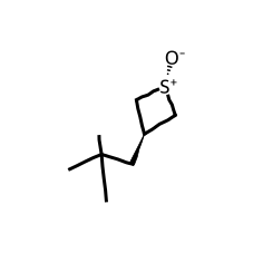 CC(C)(C)C[C@H]1C[S@+]([O-])C1